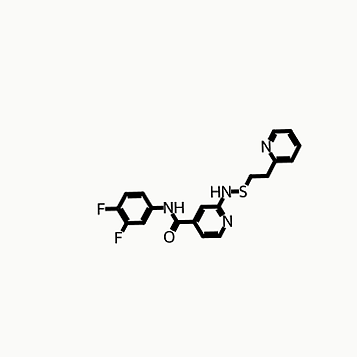 O=C(Nc1ccc(F)c(F)c1)c1ccnc(NSCCc2ccccn2)c1